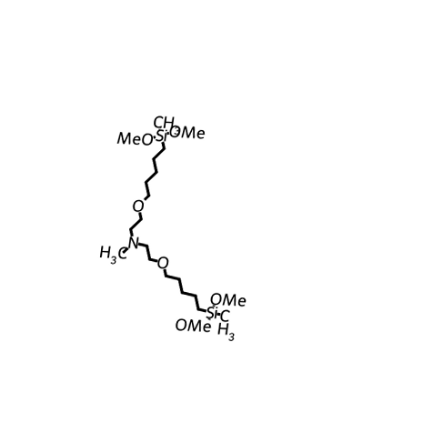 CO[Si](C)(CCCCCOCCN(C)CCOCCCCC[Si](C)(OC)OC)OC